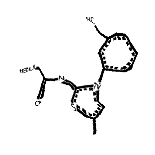 Cc1cn(-c2cccc(C#N)c2)c(=NC(=O)C(C)(C)C)s1